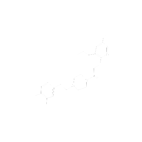 O=C(COc1ncc(Br)cc1CCS(=O)(=O)O)N1CCN(CCc2ccc(F)c(F)c2)CC1